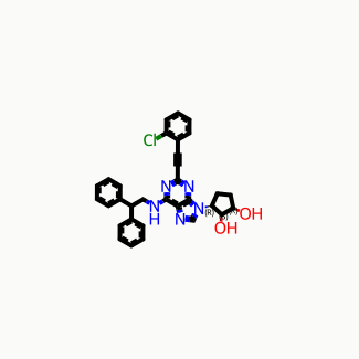 O[C@@H]1[C@H](O)CC[C@H]1n1cnc2c(NCC(c3ccccc3)c3ccccc3)nc(C#Cc3ccccc3Cl)nc21